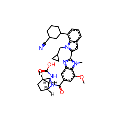 COc1cc(C(=O)N2C[C@H]3CC[C@@H]2[C@@H]3NC(=O)O)cc2nc(-c3cc4cccc(C5CCCC(C#N)C5)c4n3CC3CC3)n(C)c12